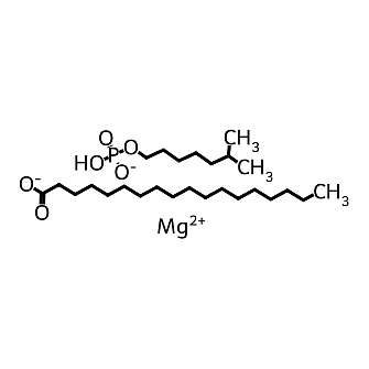 CC(C)CCCCCOP(=O)([O-])O.CCCCCCCCCCCCCCCCCC(=O)[O-].[Mg+2]